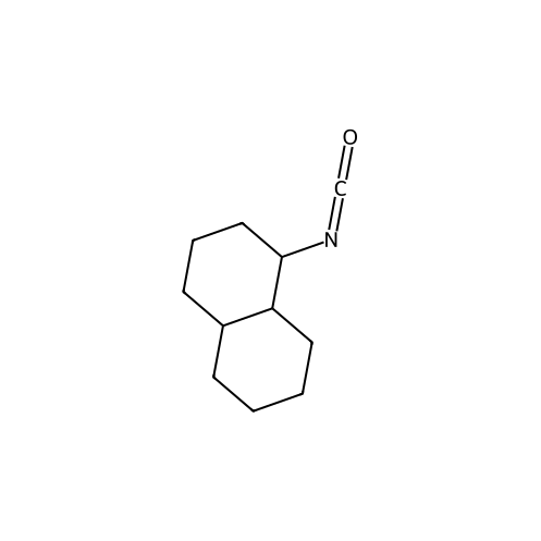 O=C=NC1CCCC2CCCCC21